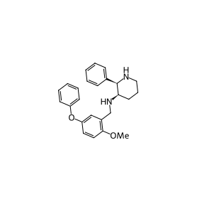 COc1ccc(Oc2ccccc2)cc1CN[C@@H]1CCCN[C@@H]1c1ccccc1